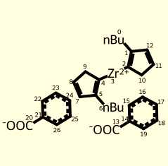 CCCCC1=[C]([Zr+2][C]2=C(CCCC)C=CC2)CC=C1.O=C([O-])c1ccccc1.O=C([O-])c1ccccc1